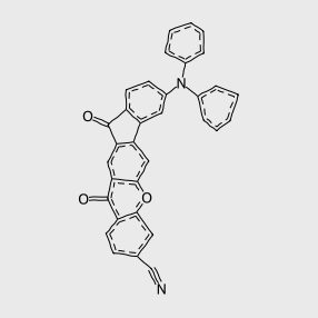 N#Cc1ccc2c(=O)c3cc4c(cc3oc2c1)-c1cc(N(c2ccccc2)c2ccccc2)ccc1C4=O